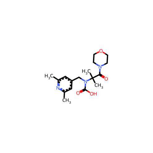 Cc1cc(CN(C(=O)O)C(C)(C)C(=O)N2CCOCC2)cc(C)n1